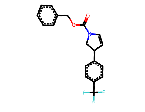 O=C(OCc1ccccc1)N1C=CC(c2ccc(C(F)(F)F)cc2)C1